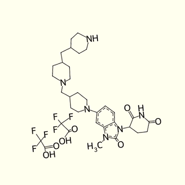 Cn1c(=O)n(C2CCC(=O)NC2=O)c2ccc(N3CCC(CN4CCC(CC5CCNCC5)CC4)CC3)cc21.O=C(O)C(F)(F)F.O=C(O)C(F)(F)F